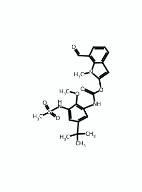 COc1c(NC(=O)Oc2cc3cccc(C=O)c3n2C)cc(C(C)(C)C)cc1NS(C)(=O)=O